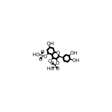 O=c1c(OS(=O)(=O)O)c(-c2ccc(O)c(O)c2)oc2cc(O)cc(OS(=O)(=O)O)c12